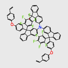 C=Cc1ccc(Oc2ccc(C3(c4c(F)c(F)c(F)c(F)c4F)c4ccccc4-c4ccc(N(c5ccc6c(c5)C(C)(C)c5ccccc5-6)c5ccc6c(c5)C(c5ccc(Oc7ccc(C=C)cc7)cc5)(c5c(F)c(F)c(F)c(F)c5F)c5ccccc5-6)cc43)cc2)cc1